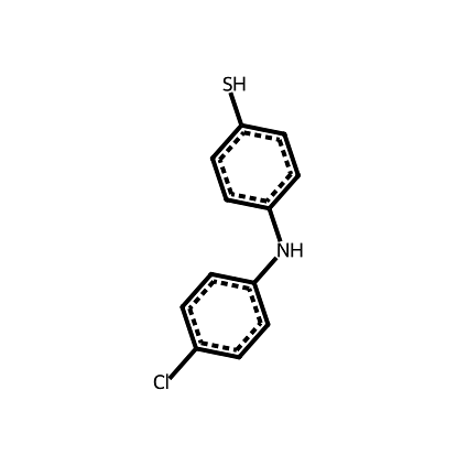 Sc1ccc(Nc2ccc(Cl)cc2)cc1